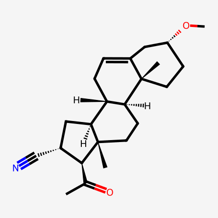 CO[C@@H]1CC[C@@]2(C)C(=CC[C@H]3[C@@H]4C[C@@H](C#N)[C@H](C(C)=O)[C@@]4(C)CC[C@@H]32)C1